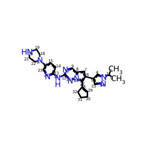 CC(C)n1cc(-c2cc3cnc(Nc4ccc(N5CCNCC5)cn4)nn3c2C2=CCCC2)cn1